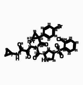 CCC[C@@H](C(=O)C(=O)NC1CC1)N(C(=O)[C@@H]1C[C@@H](S(=O)(=O)c2ccccc2Cl)CN1)C(=O)C1(c2ccc(Br)cc2)CC1